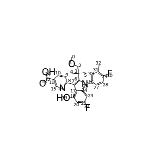 COCC(C)(C)c1c(-c2ccc(C(=O)O)cn2)c2c(O)cc(F)cc2n1-c1ccc(F)c(C)c1